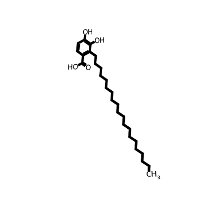 CCCCCCCCCCCCCCCCCCCCc1c(C(=O)O)ccc(O)c1O